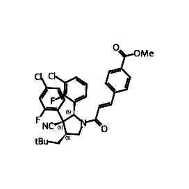 COC(=O)c1ccc(C=CC(=O)N2C[C@@H](CC(C)(C)C)[C@](C#N)(c3ccc(Cl)cc3F)[C@H]2c2cccc(Cl)c2F)cc1